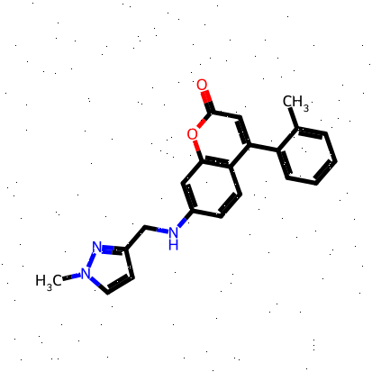 Cc1ccccc1-c1cc(=O)oc2cc(NCc3ccn(C)n3)ccc12